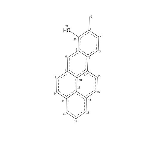 Cc1ccc2c(cc3ccc4cccc5ccc2c3c45)c1O